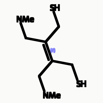 CNC/C(CS)=C(/CS)CNC